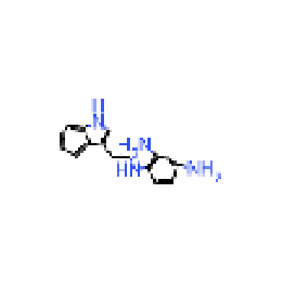 Nc1ccc(NCCc2c[nH]c3ccccc23)c(N)c1